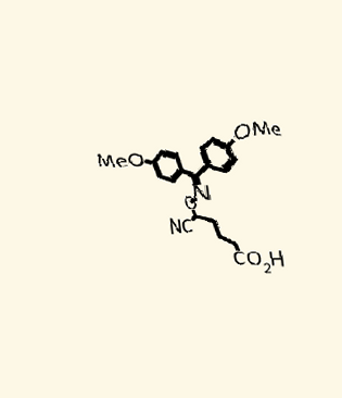 COc1ccc(C(=NOC(C#N)CCCC(=O)O)c2ccc(OC)cc2)cc1